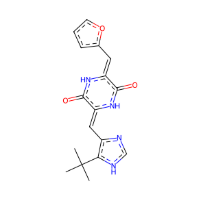 CC(C)(C)c1[nH]cnc1/C=c1\[nH]c(=O)/c(=C/c2ccco2)[nH]c1=O